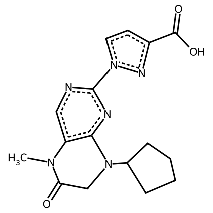 CN1C(=O)CN(C2CCCC2)c2nc(-n3ccc(C(=O)O)n3)ncc21